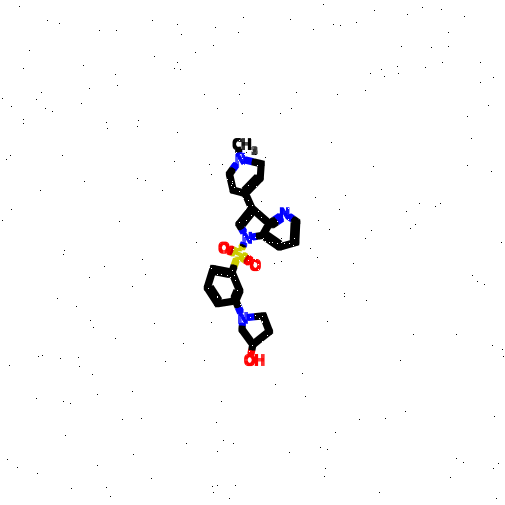 CN1CC=C(c2cn(S(=O)(=O)c3cccc(N4CCC(O)C4)c3)c3cccnc23)CC1